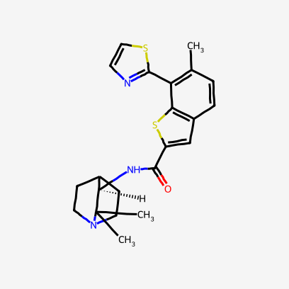 Cc1ccc2cc(C(=O)N[C@@H]3C4CCN(CC4)C3(C)C)sc2c1-c1nccs1